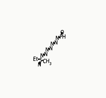 CCS(C)(#N)N=NN=NN=NN=[PH]=O